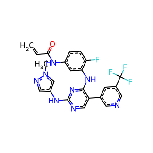 C=CC(=O)Nc1ccc(F)c(Nc2nc(Nc3cnn(C)c3)ncc2-c2cncc(C(F)(F)F)c2)c1